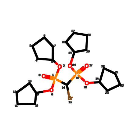 O=P(OC1CCCC1)(OC1CCCC1)C(Br)P(=O)(OC1CCCC1)OC1CCCC1